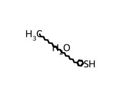 CCCCCCCCCCCCCCCCCCc1ccc(S)cc1.O